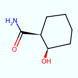 NC(=O)[C@H]1CCCC[C@H]1O